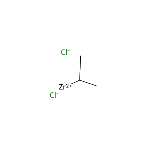 C[CH](C)[Zr+2].[Cl-].[Cl-]